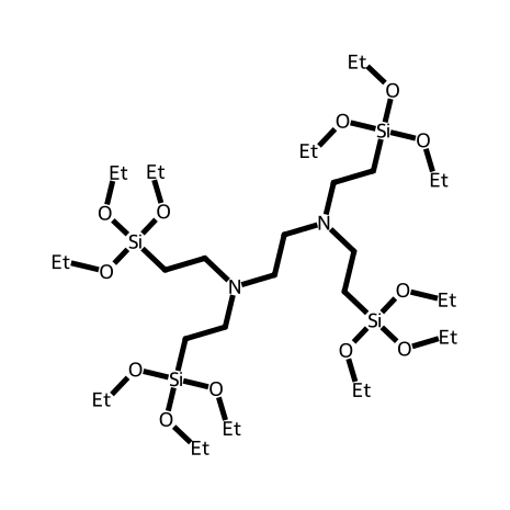 CCO[Si](CCN(CCN(CC[Si](OCC)(OCC)OCC)CC[Si](OCC)(OCC)OCC)CC[Si](OCC)(OCC)OCC)(OCC)OCC